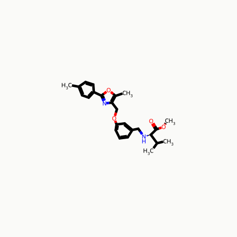 COC(=O)[C@@H](NCc1cccc(OCc2nc(-c3ccc(C)cc3)oc2C)c1)C(C)C